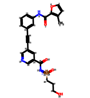 Cc1ccoc1C(=O)Nc1cccc(C#Cc2cncc(C(=O)/N=[S@H](=O)/CCCO)c2)c1